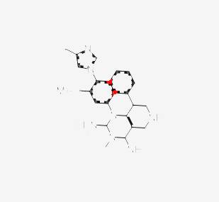 COc1cc(N2C3=C(CNCC3c3ccccc3)C(N)N(C)C2N)ccc1-n1cnc(Cl)c1